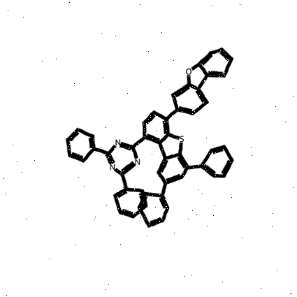 c1ccc(-c2cc(-c3ccccc3)c3sc4c(-c5ccc6c(c5)oc5ccccc56)ccc(-c5nc(-c6ccccc6)nc(-c6ccccc6)n5)c4c3c2)cc1